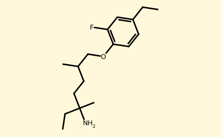 CCc1ccc(OCC(C)CCC(C)(N)CC)c(F)c1